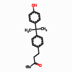 CC(C)(C)C(=O)CCc1ccc(C(C)(C)c2ccc(O)cc2)cc1